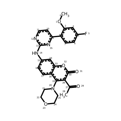 COc1cc(F)ccc1-c1ccnc(Nc2ccc3c(N4CCOCC4)c(C(C)=O)c(=O)oc3c2)n1